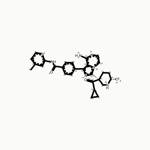 Cc1ccnc(NC(=O)c2ccc(-c3nc([C@]4(C(=O)C5CC5)CC[C@H](C(F)(F)F)NC4)n4ccnc(N)c34)cc2)c1